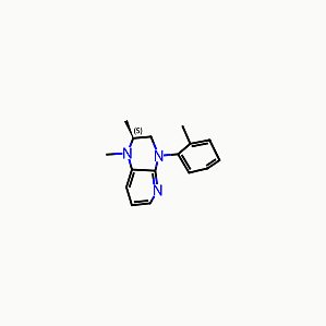 Cc1ccccc1N1C[C@H](C)N(C)c2cccnc21